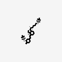 C=C1CC/C(=C/C=C2\CCC[C@]3(C)[C@@H]([C@H](C)CCCCO[Si](C)(C)C(C)(C)C)CC[C@@H]23)C[C@H]1O[Si](C)(C)C(C)(C)C